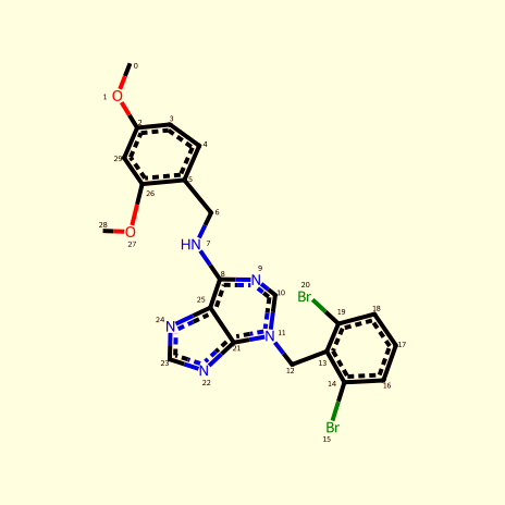 COc1ccc(CNc2ncn(Cc3c(Br)cccc3Br)c3ncnc2-3)c(OC)c1